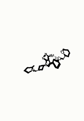 CC1CCCN1C[C@H]1C[C@H](n2cc(-c3cccc(OC[C@H]4CCCCO4)c3)c3c(N)ncnc32)C1